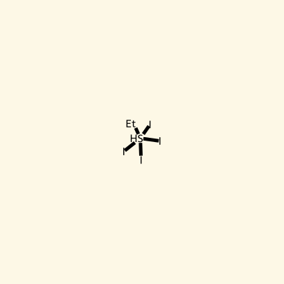 CC[SH](I)(I)(I)I